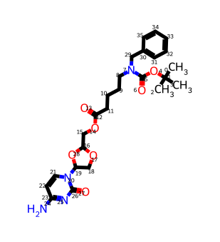 CC(C)(C)OC(=O)N(CCCCC(=O)OCC1OCC(n2ccc(N)nc2=O)O1)Cc1ccccc1